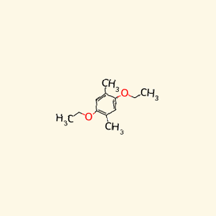 CCOc1cc(C)c(OCC)cc1C